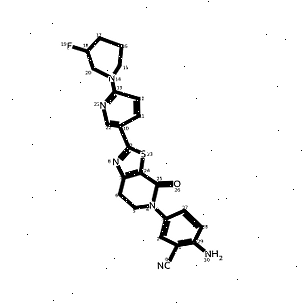 N#Cc1cc(N2CCc3nc(-c4ccc(N5CCCC(F)C5)nc4)sc3C2=O)ccc1N